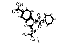 CC(=O)Nc1nc2c(n1S(=O)(=O)N1CCCCC1)CCC(C(=O)O)=C2